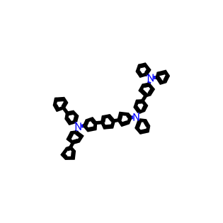 c1ccc(-c2ccc(N(c3ccc(-c4ccccc4)cc3)c3ccc(-c4ccc(-c5ccc(N(c6ccccc6)c6ccc(-c7ccc(N(c8ccccc8)c8ccccc8)cc7)cc6)cc5)cc4)cc3)cc2)cc1